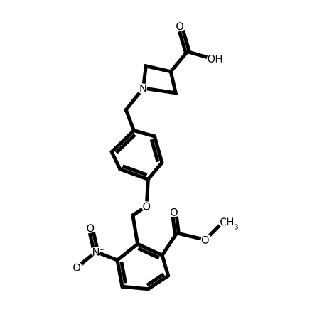 COC(=O)c1cccc([N+](=O)[O-])c1COc1ccc(CN2CC(C(=O)O)C2)cc1